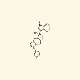 Cn1cc(C(O)(CF)c2ccc3c(cnn3-c3ccsc3)c2)c2ccccc21